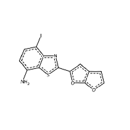 Nc1ccc(I)c2nc(-c3cc4ccoc4o3)sc12